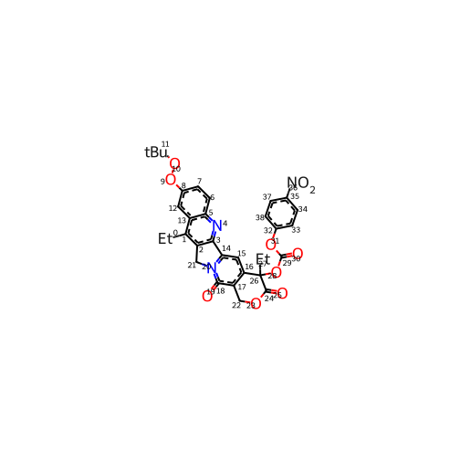 CCc1c2c(nc3ccc(OOC(C)(C)C)cc13)-c1cc3c(c(=O)n1C2)COC(=O)C3(CC)OC(=O)Oc1ccc([N+](=O)[O-])cc1